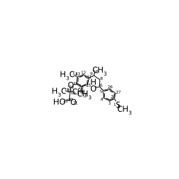 CSc1ccc(C(O)CC(C)c2cc(C)c(OC(C)(C)C(=O)O)c(C)c2)cc1